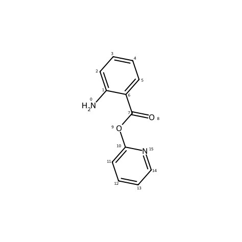 Nc1ccccc1C(=O)Oc1ccccn1